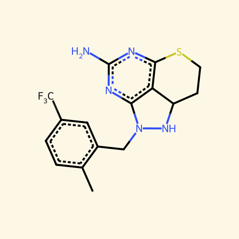 Cc1ccc(C(F)(F)F)cc1CN1NC2CCSc3nc(N)nc1c32